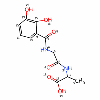 CC(NC(=O)CNC(=O)c1cccc(O)c1O)C(=O)O